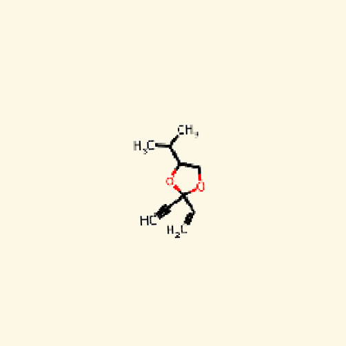 C#CC1(C=C)OCC(C(C)C)O1